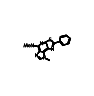 CNc1nc2sc(-c3ccccc3)nc2c2c1ncn2C